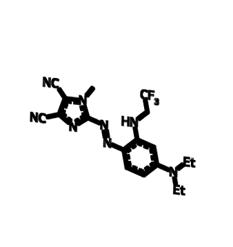 CCN(CC)c1ccc(N=Nc2nc(C#N)c(C#N)n2C)c(NCC(F)(F)F)c1